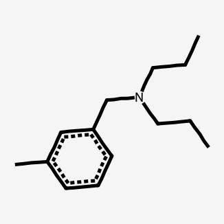 CCCN(CCC)Cc1cccc(C)c1